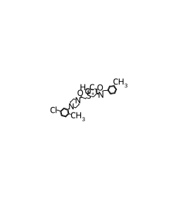 Cc1cccc(-c2nc(C[S+]([O-])CC(=O)N3CCN(c4cc(Cl)ccc4C)CC3)c(C)o2)c1